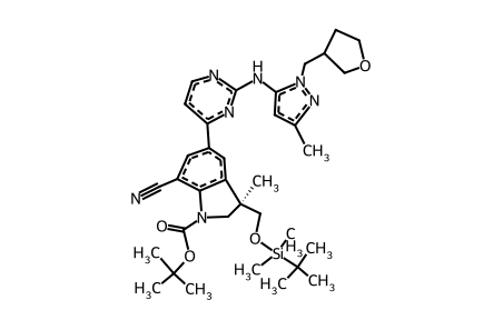 Cc1cc(Nc2nccc(-c3cc(C#N)c4c(c3)[C@@](C)(CO[Si](C)(C)C(C)(C)C)CN4C(=O)OC(C)(C)C)n2)n(CC2CCOC2)n1